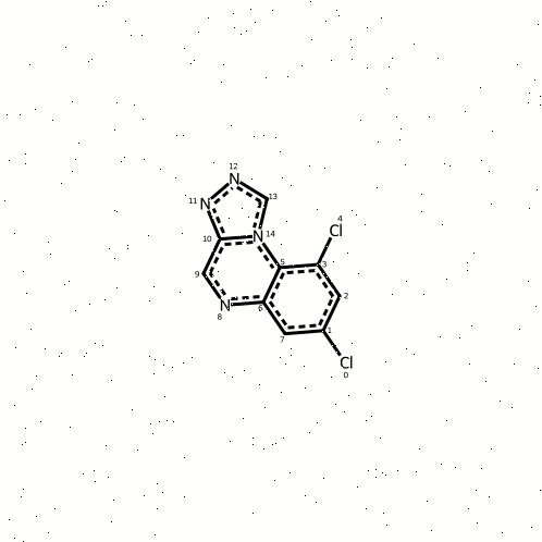 Clc1cc(Cl)c2c(c1)ncc1nncn12